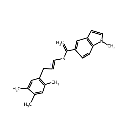 C=C(S/C=C/Cc1cc(C)c(C)cc1C)c1ccc2c(ccn2C)c1